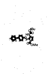 COC(=O)N1CC[C@H](NC(=O)OC(C)(C)C)[C@@H]1COC1CCC(c2ccccc2)CC1